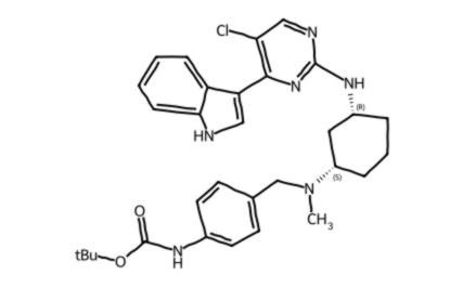 CN(Cc1ccc(NC(=O)OC(C)(C)C)cc1)[C@H]1CCC[C@@H](Nc2ncc(Cl)c(-c3c[nH]c4ccccc34)n2)C1